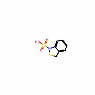 O=S(=O)(O)N1SCc2ccccc21